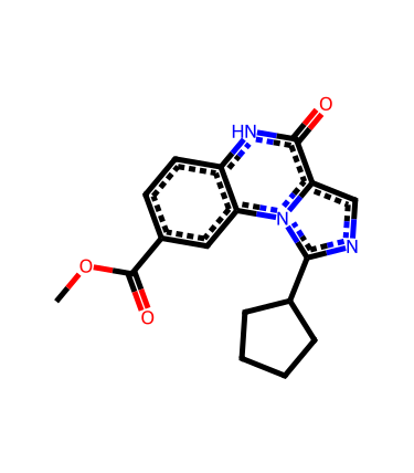 COC(=O)c1ccc2[nH]c(=O)c3cnc(C4CCCC4)n3c2c1